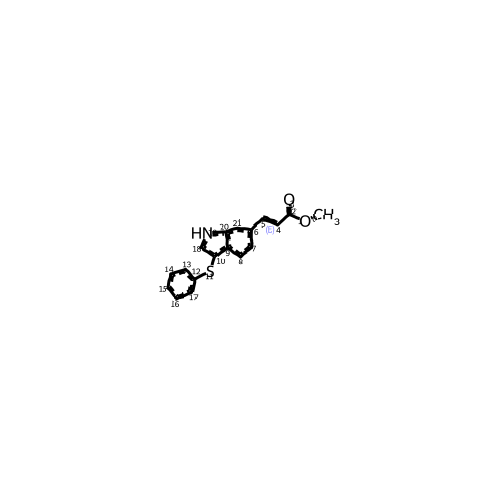 COC(=O)/C=C/c1ccc2c(Sc3ccccc3)c[nH]c2c1